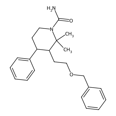 CC1(C)C(CCOCc2ccccc2)C(c2ccccc2)CCN1C(N)=O